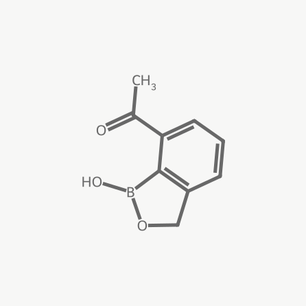 CC(=O)c1cccc2c1B(O)OC2